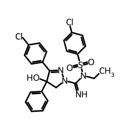 CCN(C(=N)N1CC(O)(c2ccccc2)C(c2ccc(Cl)cc2)=N1)S(=O)(=O)c1ccc(Cl)cc1